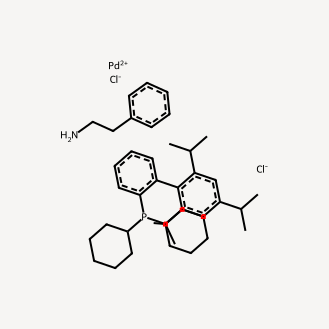 CC(C)c1cc(C(C)C)c(-c2ccccc2P(C2CCCCC2)C2CCCCC2)c(C(C)C)c1.NCCc1ccccc1.[Cl-].[Cl-].[Pd+2]